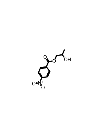 CC(O)[CH]OC(=O)c1ccc([N+](=O)[O-])cc1